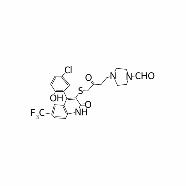 O=CN1CCN(CCC(=O)CSc2c(-c3cc(Cl)ccc3O)c3cc(C(F)(F)F)ccc3[nH]c2=O)CC1